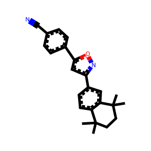 CC1(C)CCC(C)(C)c2cc(-c3cc(-c4ccc(C#N)cc4)on3)ccc21